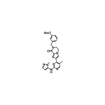 COc1cccc(CN2CCn3cc(-c4nc(Nc5ccnn5C)ncc4C)nc3C2=O)c1